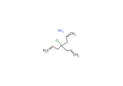 C=CCC(Cl)(CC=C)CC=C.N